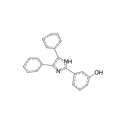 Oc1cccc(-c2nc(-c3ccccc3)c(-c3ccccc3)[nH]2)c1